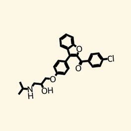 CC(C)NCC(O)COc1ccc(-c2c(C(=O)c3ccc(Cl)cc3)oc3ccccc23)cc1